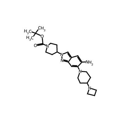 CC(C)(C)OC(=O)N1CCC(n2cc3cc(N)c(N4CCC(N5CCC5)CC4)cc3n2)CC1